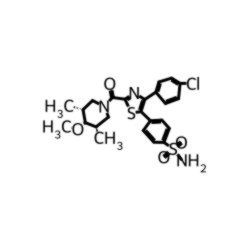 COC1[C@H](C)CN(C(=O)c2nc(-c3ccc(Cl)cc3)c(-c3ccc(S(N)(=O)=O)cc3)s2)C[C@@H]1C